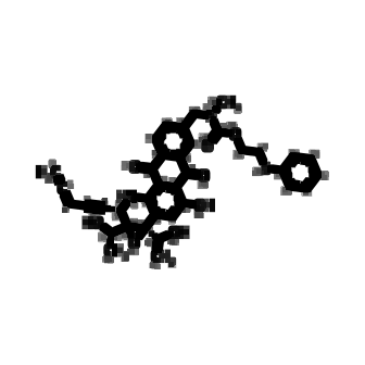 C=C=CC#C[C@@H]1Nc2c(cc(O)c3c2C(=O)c2ccc(CN(C)C(=O)OCCSc4ccccc4)cc2C3=O)[C@@]2(C(=C)O)O[C@@]12[C@@H](C)O